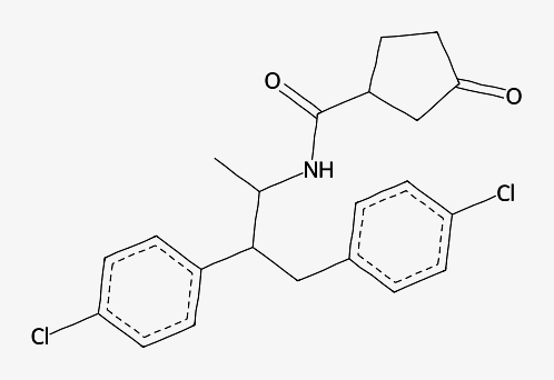 CC(NC(=O)C1CCC(=O)C1)C(Cc1ccc(Cl)cc1)c1ccc(Cl)cc1